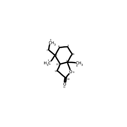 CCC1(C)CCCC2(C)OC(=O)CC12